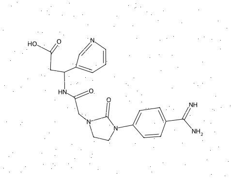 N=C(N)c1ccc(N2CCN(CC(=O)NC(CC(=O)O)c3cccnc3)C2=O)cc1